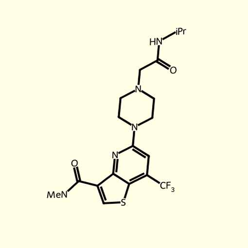 CNC(=O)c1csc2c(C(F)(F)F)cc(N3CCN(CC(=O)NC(C)C)CC3)nc12